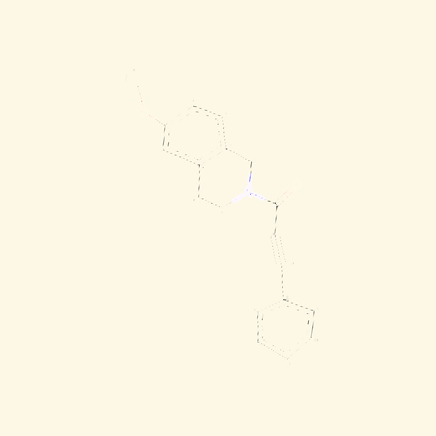 COc1ccc2c(c1)CCN(C(=O)C#Cc1ccccc1)C2